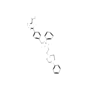 O=S(=O)(CCN1CCN(c2ccccc2)CC1)N(Cc1ccc(-c2nnc(C(F)F)o2)cc1)c1ccccc1